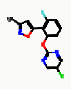 Fc1cccc(Oc2ncc(Cl)cn2)c1-c1cc(C(F)(F)F)no1